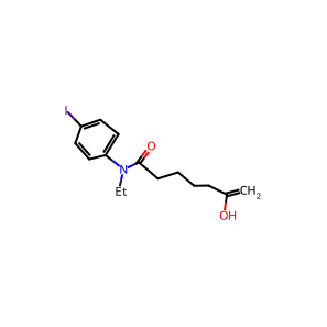 C=C(O)CCCCC(=O)N(CC)c1ccc(I)cc1